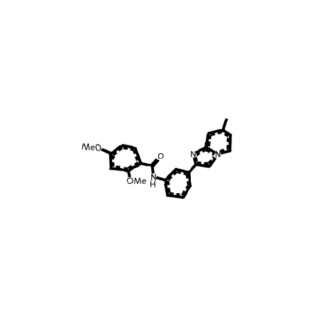 COc1ccc(C(=O)Nc2cccc(-c3cn4ccc(C)cc4n3)c2)c(OC)c1